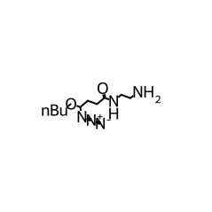 CCCCOC(CCC(=O)NCCN)N=[N+]=[N-]